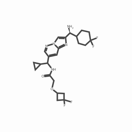 N[C@H](c1cn2ncc(C(NC(=O)COC3CC(F)(F)C3)C3CC3)cc2n1)C1CCC(F)(F)CC1